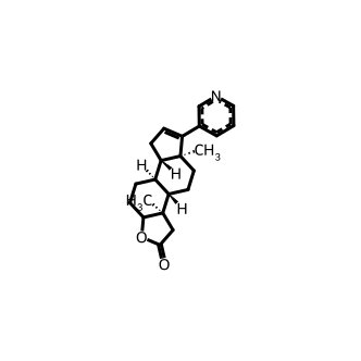 C[C@]12CC(=O)OC1CC[C@@H]1[C@@H]2CC[C@]2(C)C(c3cccnc3)=CC[C@@H]12